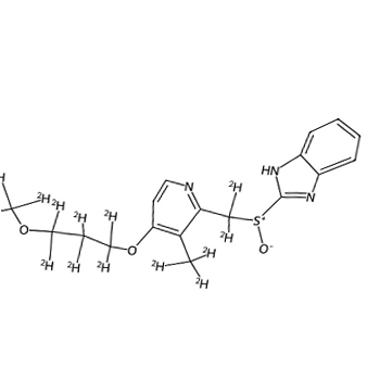 [2H]C([2H])([2H])OC([2H])([2H])C([2H])([2H])C([2H])([2H])Oc1ccnc(C([2H])([2H])[S+]([O-])c2nc3ccccc3[nH]2)c1C([2H])([2H])[2H]